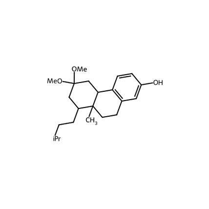 COC1(OC)CC(CCC(C)C)C2(C)CCc3cc(O)ccc3C2C1